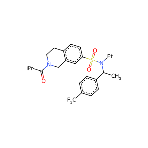 CCN(C(C)c1ccc(C(F)(F)F)cc1)S(=O)(=O)c1ccc2c(c1)CN(C(=O)C(C)C)CC2